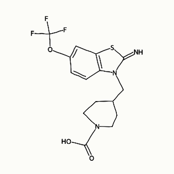 N=c1sc2cc(OC(F)(F)F)ccc2n1CC1CCN(C(=O)O)CC1